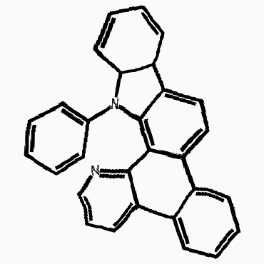 C1=CC2c3ccc4c5ccccc5c5cccnc5c4c3N(c3ccccc3)C2C=C1